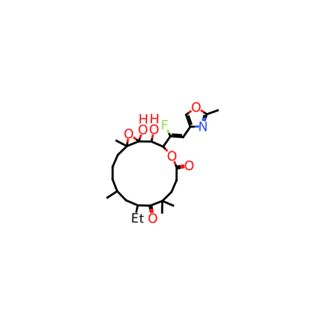 CCC1CC(C)CCCC2(C)OC2(O)C(O)C(C(F)=Cc2coc(C)n2)OC(=O)CCC(C)(C)C1=O